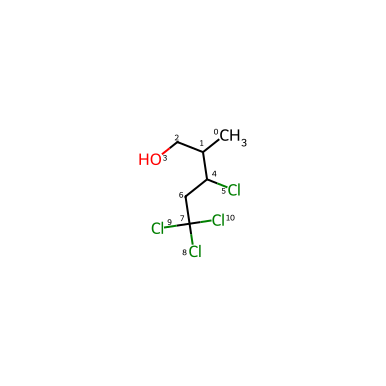 CC(CO)C(Cl)CC(Cl)(Cl)Cl